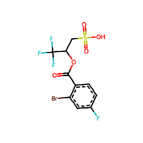 O=C(OC(CS(=O)(=O)O)C(F)(F)F)c1ccc(F)cc1Br